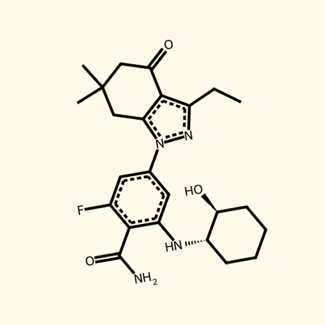 CCc1nn(-c2cc(F)c(C(N)=O)c(N[C@H]3CCCC[C@@H]3O)c2)c2c1C(=O)CC(C)(C)C2